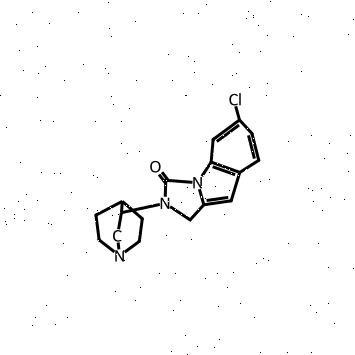 O=C1N(C2CN3CCC2CC3)Cc2cc3ccc(Cl)cc3n21